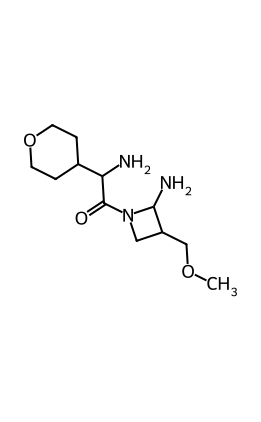 COCC1CN(C(=O)C(N)C2CCOCC2)C1N